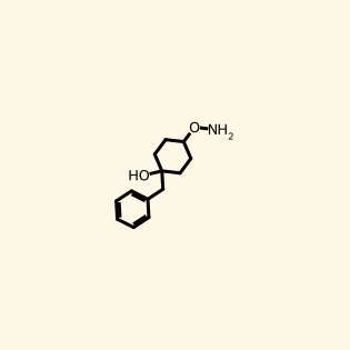 NOC1CCC(O)(Cc2ccccc2)CC1